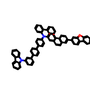 c1ccc(-c2ccccc2N(c2ccc(-c3ccc(-c4cccc(-n5c6ccccc6c6ccccc65)c4)cc3)cc2)c2ccc3c(ccc4cc(-c5ccc6c(c5)oc5ccccc56)ccc43)c2)cc1